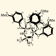 COc1cccc(O[PH]2(Oc3cccc(OC)c3)N=P(N)(N)N[PH](Oc3cccc(OC)c3)(Oc3cccc(OC)c3)N2)c1